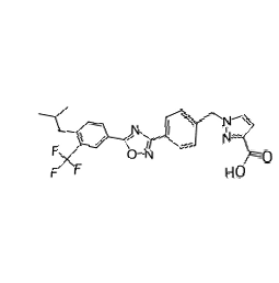 CC(C)Cc1ccc(-c2nc(-c3ccc(Cn4ccc(C(=O)O)n4)cc3)no2)cc1C(F)(F)F